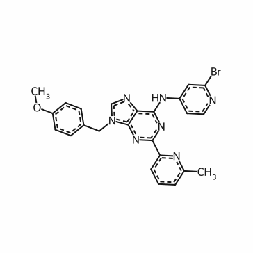 COc1ccc(Cn2cnc3c(Nc4ccnc(Br)c4)nc(-c4cccc(C)n4)nc32)cc1